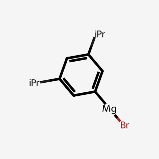 CC(C)c1c[c]([Mg][Br])cc(C(C)C)c1